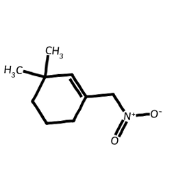 CC1(C)C=C(C[N+](=O)[O-])CCC1